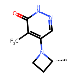 C[C@@H]1CCN1c1cn[nH]c(=O)c1C(F)(F)F